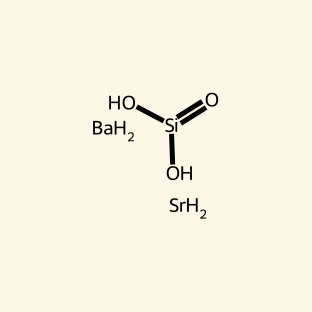 O=[Si](O)O.[BaH2].[SrH2]